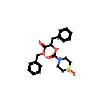 O=C(OCc1ccccc1)C(Cc1ccccc1)OC(=O)N1CC[S+]([O-])CC1